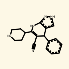 N#CC1=C(C2CCNCC2)Nc2n[nH]cc2C1c1ccccc1